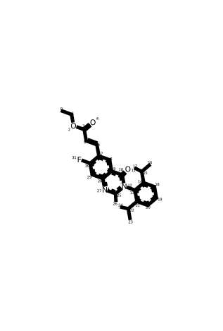 CCOC(=O)/C=C/c1cc2c(=O)n(-c3c(C(C)C)cccc3C(C)C)c(C)nc2cc1F